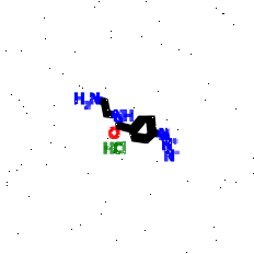 Cl.[N-]=[N+]=Nc1ccc(C(=O)NCCN)cc1